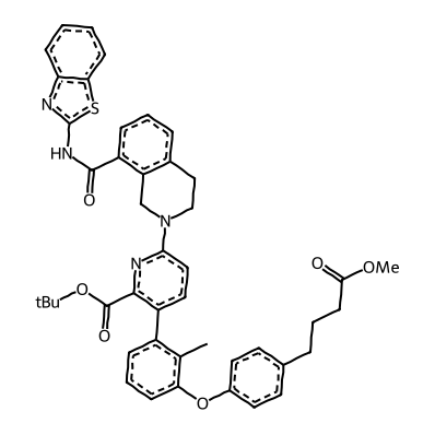 COC(=O)CCCc1ccc(Oc2cccc(-c3ccc(N4CCc5cccc(C(=O)Nc6nc7ccccc7s6)c5C4)nc3C(=O)OC(C)(C)C)c2C)cc1